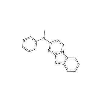 CN(c1ccccc1)c1ccn2c(n1)nc1ccccc12